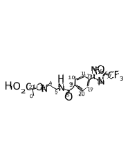 C[C@H](ON=CCNC(=O)c1ccc(-c2noc(C(F)(F)F)n2)cc1)C(=O)O